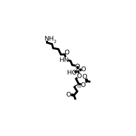 CC(=O)CC[C@@H](COP(=O)(O)OCCNC(=O)CCCCCN)OC(C)=O